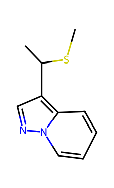 CSC(C)c1cnn2ccccc12